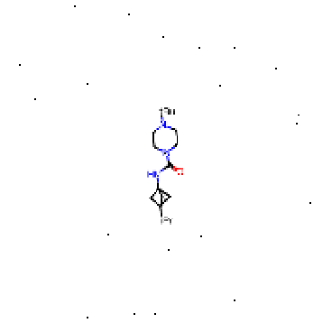 CC(C)C12CC(NC(=O)N3CCN(C(C)(C)C)CC3)(C1)C2